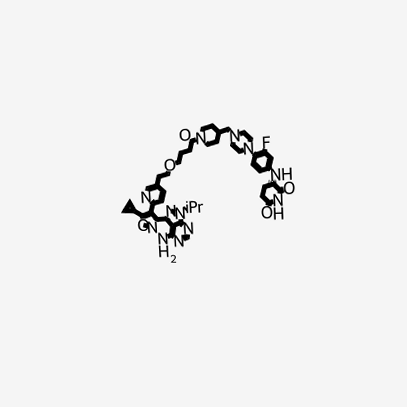 CC(C)n1nc(-c2noc(C3CC3)c2-c2ccc(CCOCCCC(=O)N3CCC(CN4CCN(c5ccc(N[C@H]6CCC(=O)NC6=O)cc5F)CC4)CC3)cn2)c2c(N)ncnc21